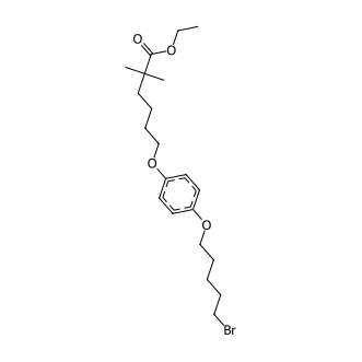 CCOC(=O)C(C)(C)CCCCOc1ccc(OCCCCCBr)cc1